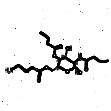 CCCC(=O)N[C@H]1C(O)O[C@H](COC(=O)CCCN)[C@@H](OC(=O)CCC)[C@@H]1O